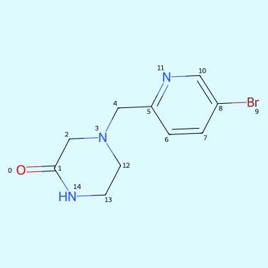 O=C1CN(Cc2ccc(Br)cn2)CCN1